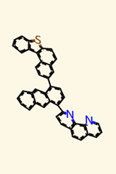 c1ccc2cc3c(-c4ccc5ccc6cccnc6c5n4)ccc(-c4ccc5c(ccc6sc7ccccc7c65)c4)c3cc2c1